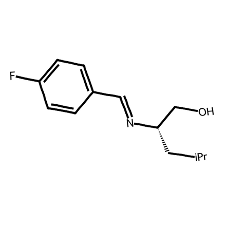 CC(C)C[C@@H](CO)/N=C/c1ccc(F)cc1